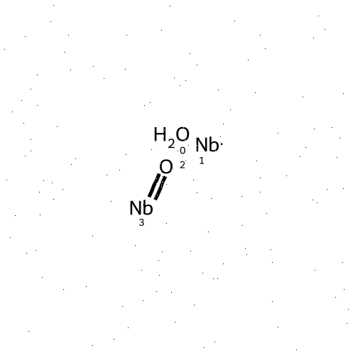 O.[Nb].[O]=[Nb]